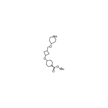 CC(C)(C)OC(=O)N1CCC(OC2CC(COC3CCNCC3)C2)CC1